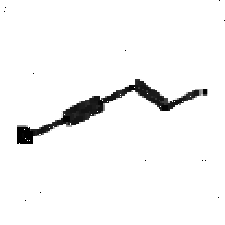 [CH2]/C=C/C#CBr